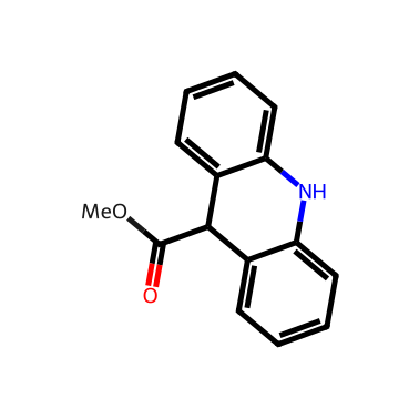 COC(=O)C1c2ccccc2Nc2ccccc21